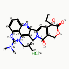 CC[C@@]1(O)C(=O)OCc2c1cc1n(c2=O)Cc2c-1nc1cccc3c1c2N(CC(C)C)C(N(C)C)=N3.Cl